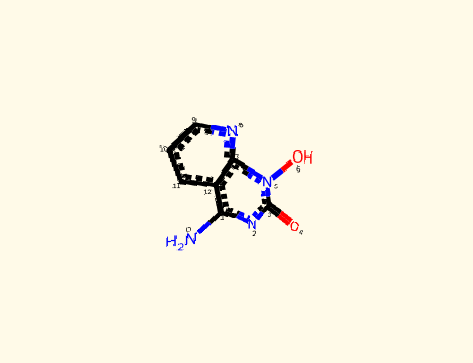 Nc1nc(=O)n(O)c2ncccc12